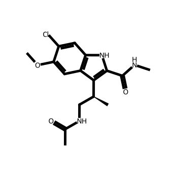 CNC(=O)c1[nH]c2cc(Cl)c(OC)cc2c1[C@@H](C)CNC(C)=O